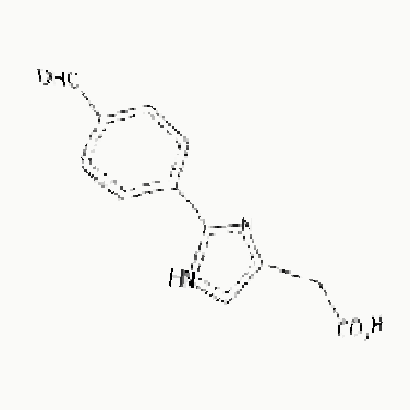 O=Cc1ccc(-c2nc(CC(=O)O)c[nH]2)cc1